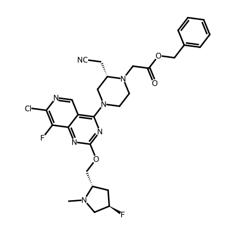 CN1C[C@H](F)C[C@H]1COc1nc(N2CCN(CC(=O)OCc3ccccc3)[C@@H](CC#N)C2)c2cnc(Cl)c(F)c2n1